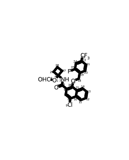 O=COC1(NC(=O)c2cc(Cl)c3ccccc3c2OCc2ccc(C(F)(F)F)cc2F)CCC1